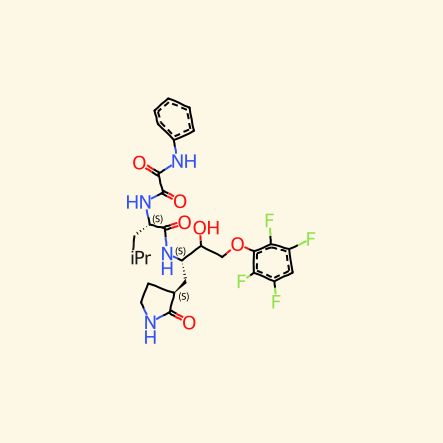 CC(C)C[C@H](NC(=O)C(=O)Nc1ccccc1)C(=O)N[C@@H](C[C@@H]1CCNC1=O)C(O)COc1c(F)c(F)cc(F)c1F